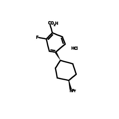 CCC[C@H]1CC[C@H](c2ccc(C(=O)O)c(F)c2)CC1.Cl